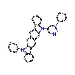 c1ccc(-c2cc(-n3c4ccccc4c4cc5cc6c(cc5cc43)c3ccccc3n6-c3ccccc3)cnn2)cc1